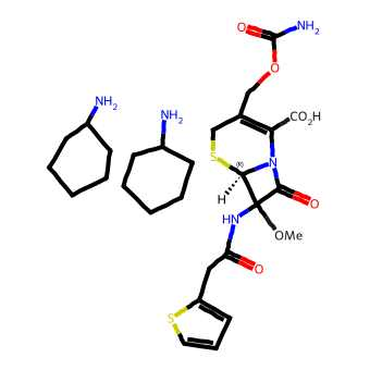 COC1(NC(=O)Cc2cccs2)C(=O)N2C(C(=O)O)=C(COC(N)=O)CS[C@@H]21.NC1CCCCC1.NC1CCCCC1